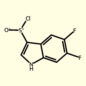 [O-][S+](Cl)c1c[nH]c2cc(F)c(F)cc12